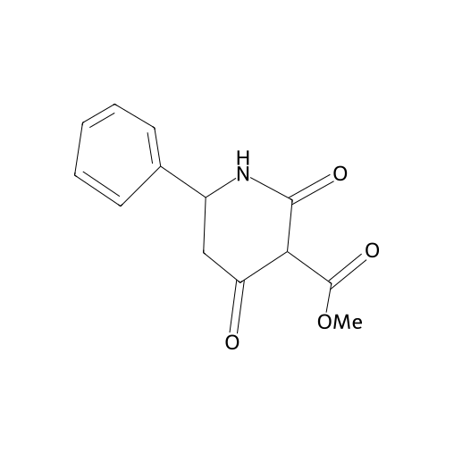 COC(=O)C1C(=O)CC(c2ccccc2)NC1=O